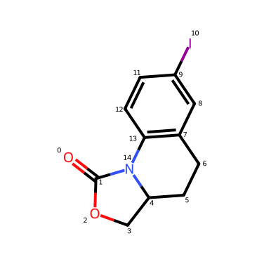 O=C1OCC2CCc3cc(I)ccc3N12